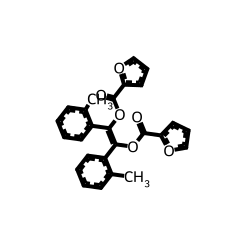 Cc1ccccc1C(OC(=O)c1ccco1)=C(OC(=O)c1ccco1)c1ccccc1C